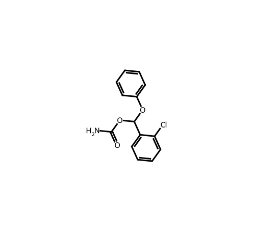 NC(=O)OC(Oc1ccccc1)c1ccccc1Cl